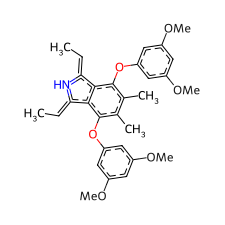 C/C=c1\[nH]/c(=C\C)c2c(Oc3cc(OC)cc(OC)c3)c(C)c(C)c(Oc3cc(OC)cc(OC)c3)c12